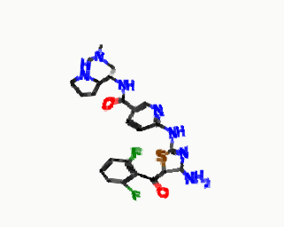 CN(C)C[C@H](NC(=O)c1ccc(NC2=NC(N)C(C(=O)c3c(F)cccc3F)S2)nc1)C1CCCN1